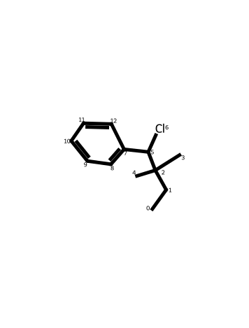 CCC(C)(C)C(Cl)c1ccccc1